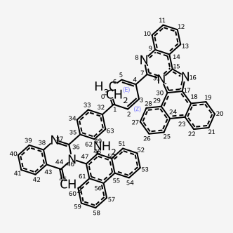 C=C(/C=C\C(=C/C)c1nc2ccccc2c2nc3c4ccccc4c4ccccc4c3n12)c1ccc(C2=Nc3ccccc3C(=C)N2c2c(N)c3ccccc3c3ccccc23)cc1